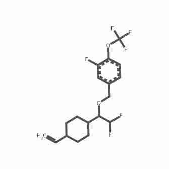 C=CC1CCC(C(OCc2ccc(OC(F)(F)F)c(F)c2)C(F)F)CC1